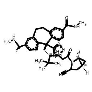 CNC(=O)c1ccc2c(c1)CCc1cc(C(=O)NC)ccc1C2(C[C@H](NCC(=O)N1C(C#N)C[C@@H]2C[C@@H]21)C(C)(C)C)c1nnn[nH]1